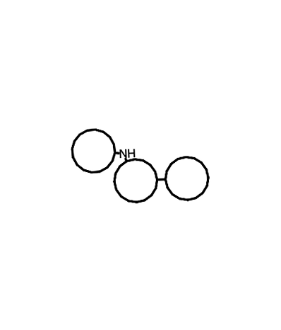 C1CCCCCCCC(NC2CCCCCCCCCCC(C3CCCCCCCCCCCCCCC3)CCCC2)CCCCCCC1